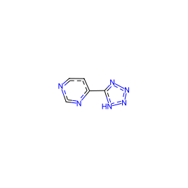 c1cc(-c2nnn[nH]2)ncn1